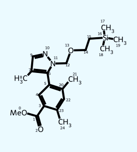 COC(=O)c1cc(-c2c(C)cnn2COCC[Si](C)(C)C)c(C)cc1C